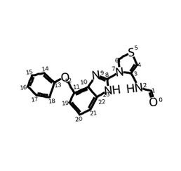 O=CNC1=CSCN1c1nc2c(Oc3ccccc3)cccc2[nH]1